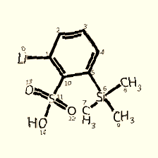 [Li][c]1cccc([Si](C)(C)C)c1S(=O)(=O)O